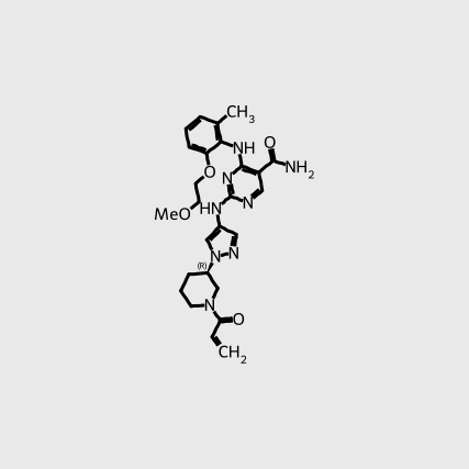 C=CC(=O)N1CCC[C@@H](n2cc(Nc3ncc(C(N)=O)c(Nc4c(C)cccc4OCCOC)n3)cn2)C1